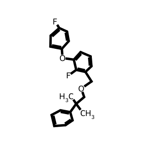 CC(C)(COCc1cccc(Oc2ccc(F)cc2)c1F)c1ccccc1